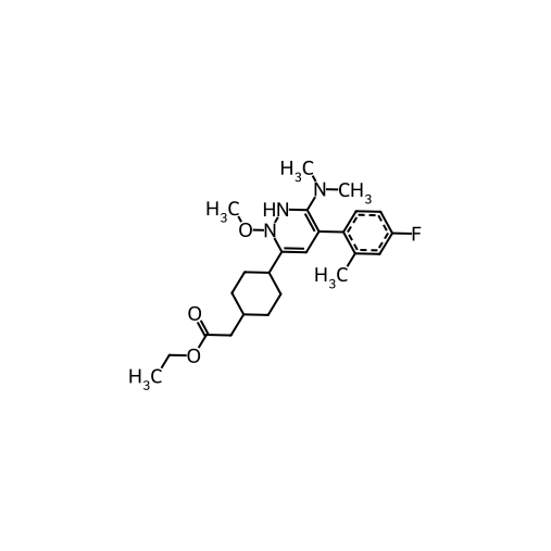 CCOC(=O)CC1CCC(C2=CC(c3ccc(F)cc3C)=C(N(C)C)NN2OC)CC1